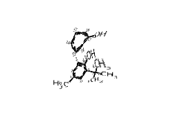 Cc1ccc(O)c(C(C)(C)C)c1.Oc1ccccc1